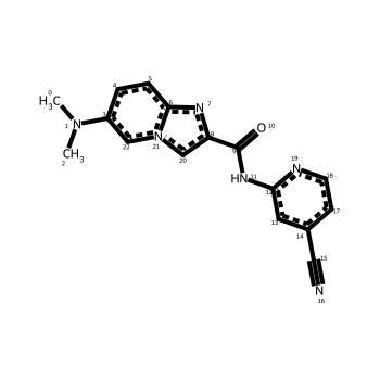 CN(C)c1ccc2nc(C(=O)Nc3cc(C#N)ccn3)cn2c1